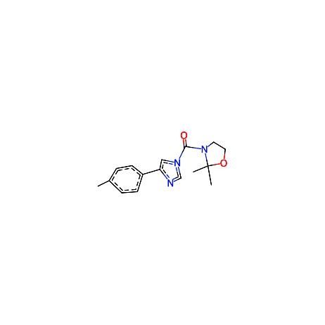 Cc1ccc(-c2cn(C(=O)N3CCOC3(C)C)cn2)cc1